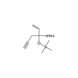 C#CCC(C=C)(CCCCCC)O[Si](C)(C)C